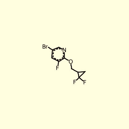 Fc1cc(Br)cnc1OCC1CC1(F)F